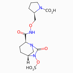 O=C(NOC[C@H]1CCCN1C(=O)O)[C@@H]1CC[C@@H]2CN1C(=O)N2OS(=O)(=O)O